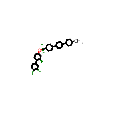 CC1CCC(c2ccc(C3CCC(C(F)(F)Oc4ccc(-c5ccc(F)c(F)c5)c(F)c4)CC3)cc2)CC1